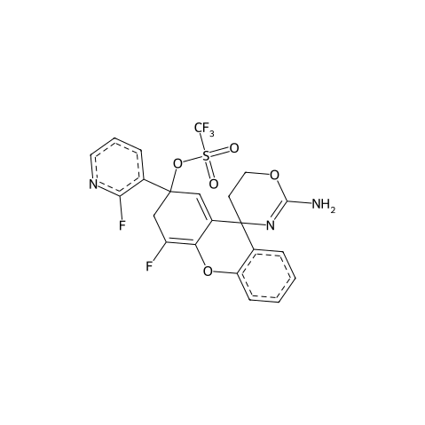 NC1=NC2(CCO1)C1=CC(OS(=O)(=O)C(F)(F)F)(c3cccnc3F)CC(F)=C1Oc1ccccc12